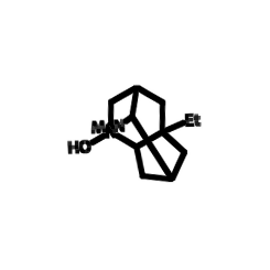 CCC12CC3CC1N(O)CC(C2)C3NC